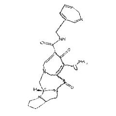 O=C(NCC1=CC=CCN=C1)c1cn2c(c(OP)c1=O)C(=O)N1CC3CCCN3[C@@H]1C2